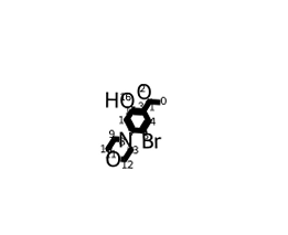 CC(=O)c1cc(Br)c(N2CCOCC2)cc1O